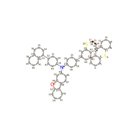 c1ccc2c(c1)Sc1ccccc1[Si]21c2ccccc2Sc2cc(-c3ccc(N(c4ccc(-c5cccc6ccccc56)cc4)c4ccc5c(c4)oc4ccccc45)cc3)ccc21